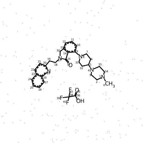 CN1CCN(C2CCN(c3cccc4c3C(=O)N(CCc3ccc5ccccc5n3)C4)CC2)CC1.O=C(O)C(F)(F)F